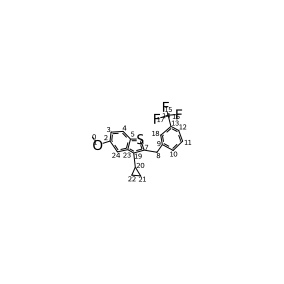 COc1ccc2sc(Cc3cccc(C(F)(F)F)c3)c(C3CC3)c2c1